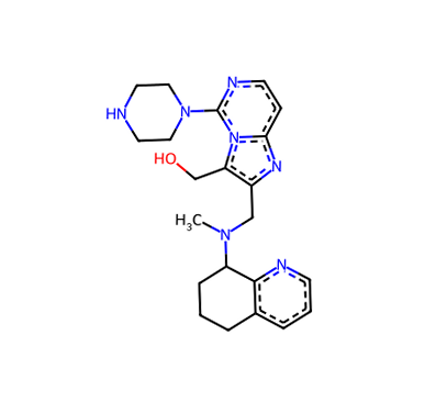 CN(Cc1nc2ccnc(N3CCNCC3)n2c1CO)C1CCCc2cccnc21